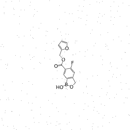 O=C(OCc1ccco1)c1cc2c(cc1F)COB2O